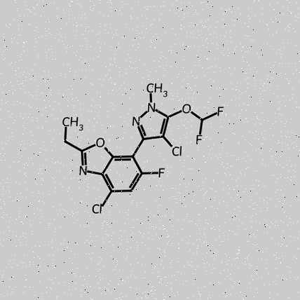 CCc1nc2c(Cl)cc(F)c(-c3nn(C)c(OC(F)F)c3Cl)c2o1